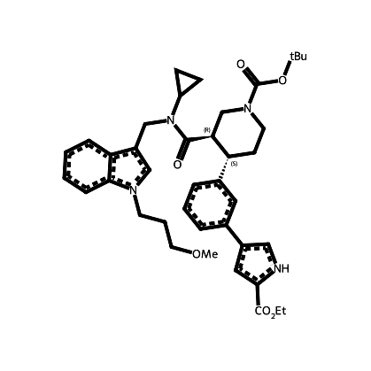 CCOC(=O)c1cc(-c2cccc([C@H]3CCN(C(=O)OC(C)(C)C)C[C@@H]3C(=O)N(Cc3cn(CCCOC)c4ccccc34)C3CC3)c2)c[nH]1